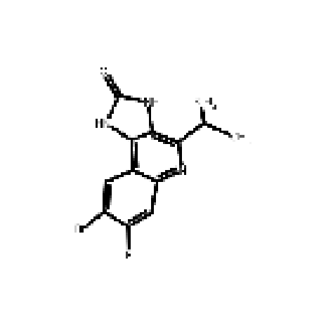 CC(C)c1nc2cc(F)c(Br)cc2c2[nH]c(=O)[nH]c12